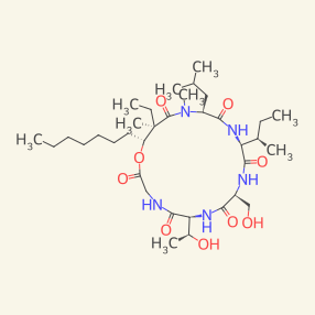 CCCCCCC[C@H]1OC(=O)CNC(=O)[C@H]([C@H](C)O)NC(=O)[C@H](CO)NC(=O)[C@H]([C@H](C)CC)NC(=O)[C@H](CC(C)C)N(C)C(=O)[C@]1(C)CC